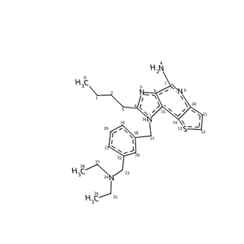 CCCCc1nc2c(N)nc3ccsc3c2n1Cc1cccc(CN(CC)CC)c1